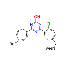 CNCC1=CC=C(Cl)C(c2nc(O)nc(C3=CC=C(OCC(C)C)C=CC3)n2)=CC1